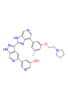 Oc1cncc(-c2cc3c(-c4nc5c(-c6cc(F)cc(OCCN7CCCC7)c6)cncc5[nH]4)n[nH]c3cn2)c1